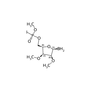 B[C@@H]1O[C@H](COP(=O)(I)OC)[C@H](OC)[C@@H]1OC